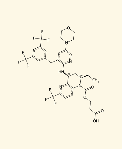 CC[C@@H]1C[C@H](Nc2ncc(N3CCOCC3)cc2Cc2cc(C(F)(F)F)cc(C(F)(F)F)c2)c2nc(C(F)(F)F)ccc2N1C(=O)OCCC(=O)O